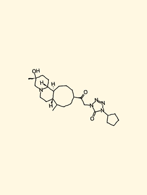 CC1CC[C@H](C(=O)Cn2nnn(C3CCCC3)c2=O)CCC[C@@H]2[C@H]3CC[C@@](C)(O)CN3CC[C@@H]12